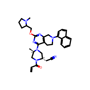 C=CC(=O)N1C[C@@H](C)N(c2nc(OCC3CCCN3C)nc3c2CCN(c2cccc4ccccc24)C3)C[C@@H]1CC#N